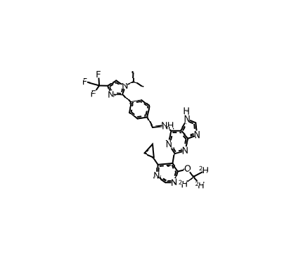 [2H]C([2H])([2H])Oc1ncnc(C2CC2)c1-c1nc(NCc2ccc(-c3nc(C(F)(F)F)cn3C(C)C)cc2)c2[nH]cnc2n1